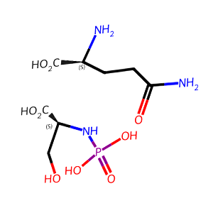 NC(=O)CC[C@H](N)C(=O)O.O=C(O)[C@H](CO)NP(=O)(O)O